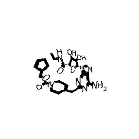 CCNC(=O)[C@H]1O[C@@H](n2cnc3c(N)nc(CC4CCN(C(=O)OCC5CCCC5)CC4)nc32)C(O)C1O